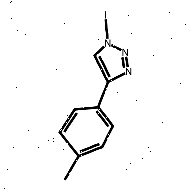 Cc1ccc(-c2cn(I)nn2)cc1